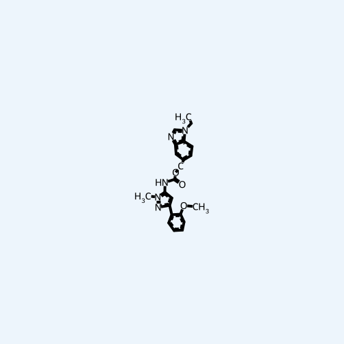 CCn1cnc2cc(COC(=O)Nc3cc(-c4ccccc4OC)nn3C)ccc21